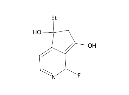 CCC1(O)CC(O)=C2C1=CC=NC2F